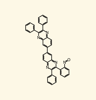 O=Nc1ccccc1-c1nc2cc(-c3ccc4nc(-c5ccccc5)c(-c5ccccc5)nc4c3)ccc2nc1-c1ccccc1